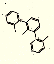 Cc1c(-[n+]2ccccc2C)cccc1-[n+]1cnccc1C